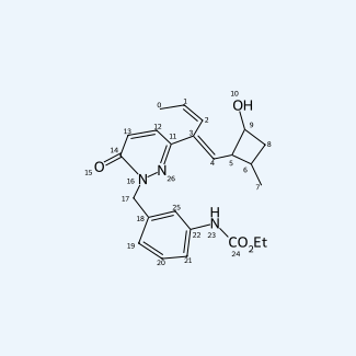 C/C=C\C(=C/C1C(C)CC1O)c1ccc(=O)n(Cc2cccc(NC(=O)OCC)c2)n1